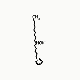 CCCCCCCCCCCCCCCC[n+]1ccccc1.Cl.[Br-]